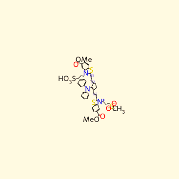 COC(=O)c1ccc2c(c1)N(CCCS(=O)(=O)O)/C(=C\C=C1/CCC(/C=C/c3sc4ccc(C(=O)OC)cc4[n+]3CCCS(C)(=O)=O)=C1N(c1ccccc1)c1ccccc1)S2